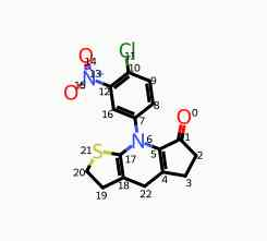 O=C1CCC2=C1N(c1ccc(Cl)c([N+](=O)[O-])c1)C1=C(CCS1)C2